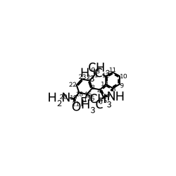 CCC1=C(c2c(C)[nH]c3cccc(C)c23)C(C)(F)C(C(N)=O)C=C1